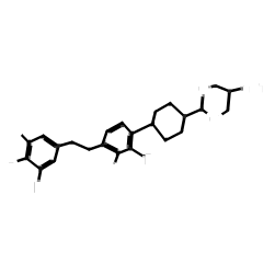 CCCC1COC(C2CCC(c3ccc(CCc4cc(F)c(F)c(F)c4)c(F)c3F)CC2)OC1